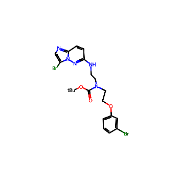 CC(C)(C)OC(=O)N(CCNc1ccc2ncc(Br)n2n1)CCOc1cccc(Br)c1